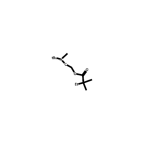 CCC(C)(C)C(=O)OCCN(C)C(C)(C)C